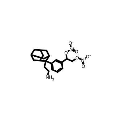 NCCC1(c2cccc(C(CO[N+](=O)[O-])O[N+](=O)[O-])c2)C2CC3CC(C2)CC1C3